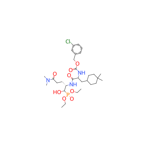 CCOP(=O)(OCC)C(O)[C@H](CCC(=O)N(C)C)NC(=O)C(CC1CCC(C)(C)CC1)NC(=O)OCc1cccc(Cl)c1